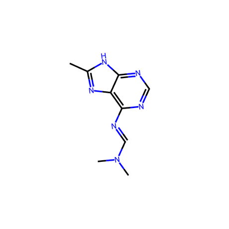 Cc1nc2c(N=CN(C)C)ncnc2[nH]1